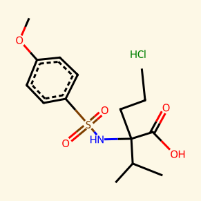 CCCC(NS(=O)(=O)c1ccc(OC)cc1)(C(=O)O)C(C)C.Cl